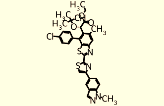 CCOC(=O)[C@@H](OC(C)(C)C)c1c(C)cc2nc(-c3nc(-c4ccc5c(cnn5C)c4)cs3)sc2c1-c1ccc(Cl)cc1